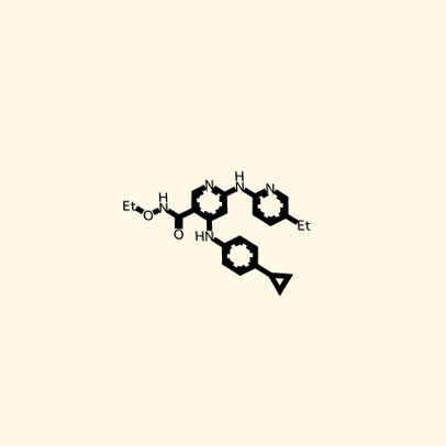 CCONC(=O)c1cnc(Nc2ccc(CC)cn2)cc1Nc1ccc(C2CC2)cc1